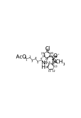 CC(=O)OCCCCCCNC1c2ccccc2N(C)[S+]([O-])c2cc(Cl)ccc21